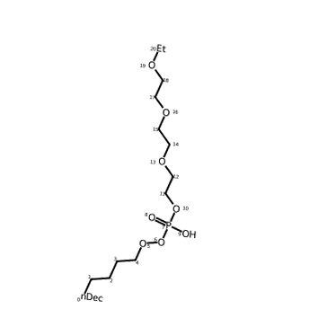 CCCCCCCCCCCCCCOOP(=O)(O)OCCOCCOCCOCC